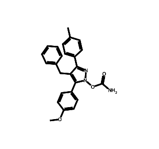 COc1ccc(-c2c(Cc3ccccc3)c(-c3ccc(C)cc3)nn2OC(N)=O)cc1